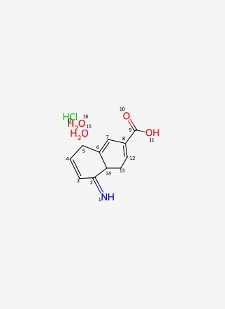 Cl.N=C1C=CCC2=CC(C(=O)O)=CCC12.O.O